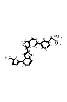 Cc1ccc(-c2nccc3[nH]c(-c4n[nH]c5cnc(-c6cncc(CN(C)C)c6)cc45)cc23)s1